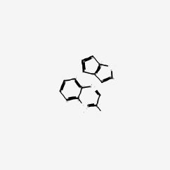 C1=Cc2ccsc2C=1.Fc1cnc2ccccc2n1